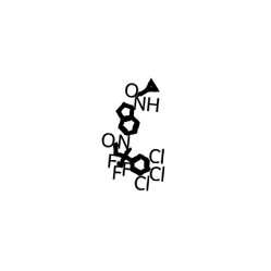 O=C(NC1CCc2cc(N3CC(c4cc(Cl)c(Cl)c(Cl)c4)(C(F)(F)F)CC3=O)ccc21)C1CC1